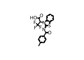 Cc1ccc(C(=O)N=c2sc3ccccc3n2C(C(=O)O)C(F)(F)F)cc1